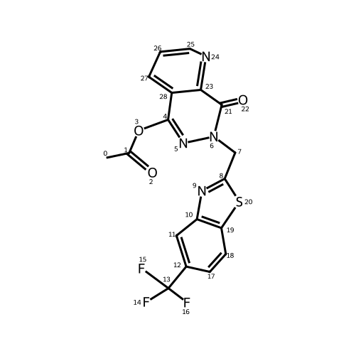 CC(=O)Oc1nn(Cc2nc3cc(C(F)(F)F)ccc3s2)c(=O)c2ncccc12